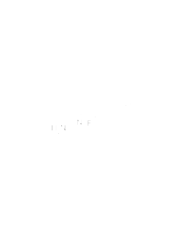 NN1CC2COCC(C1)C2(F)F